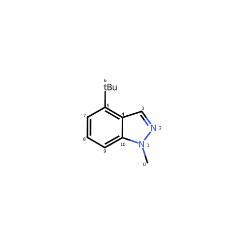 Cn1ncc2c(C(C)(C)C)cccc21